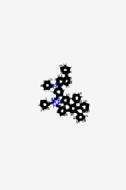 c1ccc(-c2nc(-c3cccc(-c4cc(-c5ccccc5)c(-c5ccccc5)c(-c5ccccc5)c4-c4ccccc4)c3)nc(-c3ccc4c5c6cccc(-c7ccccc7)c6ccc5n(-c5ccccc5)c4c3)n2)cc1